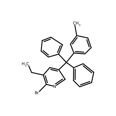 CCc1cc(C(c2ccccc2)(c2ccccc2)c2cccc(C)c2)cnc1Br